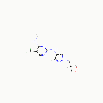 CCNc1nc(Nc2cn(CC3(C)COC3)nc2C)ncc1C(F)(F)F